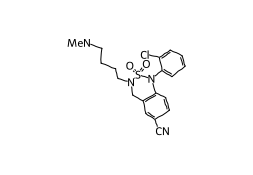 CNCCCCN1Cc2cc(C#N)ccc2N(c2ccccc2Cl)S1(=O)=O